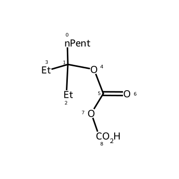 CCCCCC(CC)(CC)OC(=O)OC(=O)O